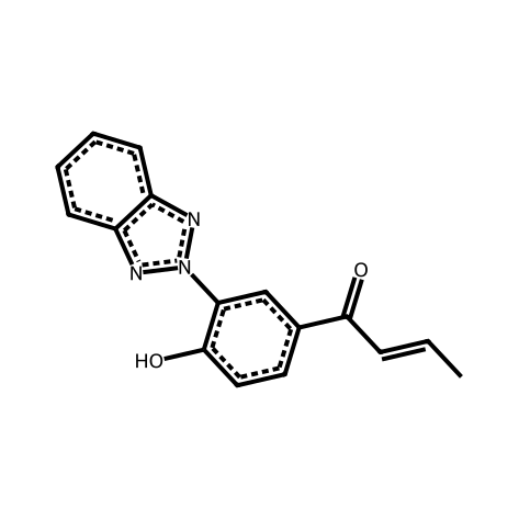 CC=CC(=O)c1ccc(O)c(-n2nc3ccccc3n2)c1